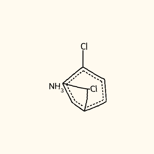 Clc1ccc2cc1C2Cl.N